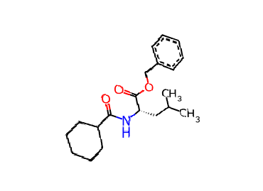 CC(C)C[C@H](NC(=O)C1CCCCC1)C(=O)OCc1ccccc1